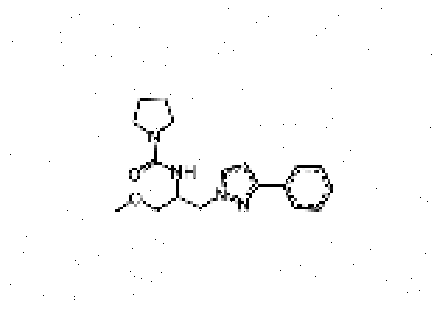 COCC(Cn1ccc(-c2ccccc2)n1)NC(=O)N1CCCC1